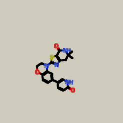 CC1(C)Cc2nc(N3CCOc4ccc(-c5ccc(=O)[nH]c5)cc43)sc2C(=O)N1